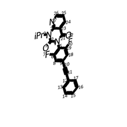 CC(C)n1c(=O)n(-c2c(F)cc(C#Cc3ccccc3)cc2F)c(=O)c2cccnc21